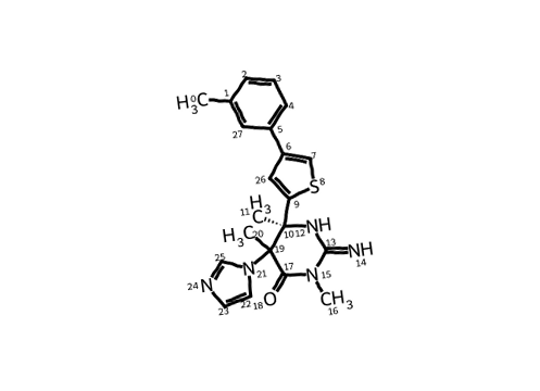 Cc1cccc(-c2csc([C@@]3(C)NC(=N)N(C)C(=O)C3(C)n3ccnc3)c2)c1